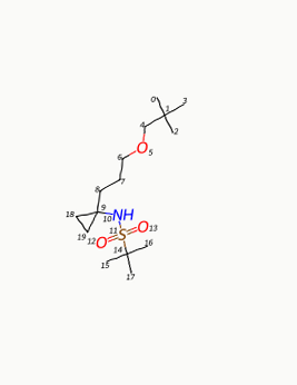 CC(C)(C)COCCCC1(NS(=O)(=O)C(C)(C)C)CC1